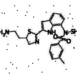 Cc1cccc(S(=O)(=O)N(S)c2cccc3cc(C4=NCC(CCN)S4)[nH]c23)c1